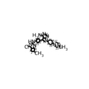 Cc1ccc2c(Cl)nc(Nc3ccc(-c4cn([C@H]5CC[C@H](N6CCN(C)CC6)CC5)c5ncnc(N)c45)cc3)nc2c1